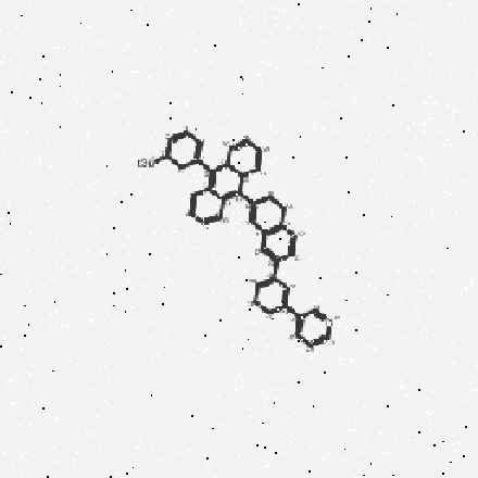 CC(C)(C)C1C=CC=C(C2=c3ccccc3=C(C3=Cc4cc(C5=CCCC(c6cccnc6)=C5)ccc4CC3)C3C=CC=CC23)C1